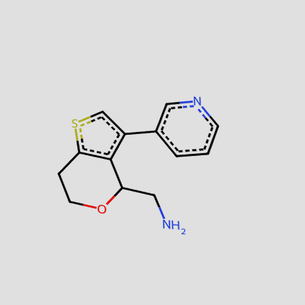 NCC1OCCc2scc(-c3cccnc3)c21